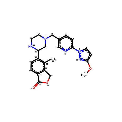 COc1ccn(-c2ccc(CN3CCNC(c4ccc5c(c4C)COC5=O)C3)cn2)n1